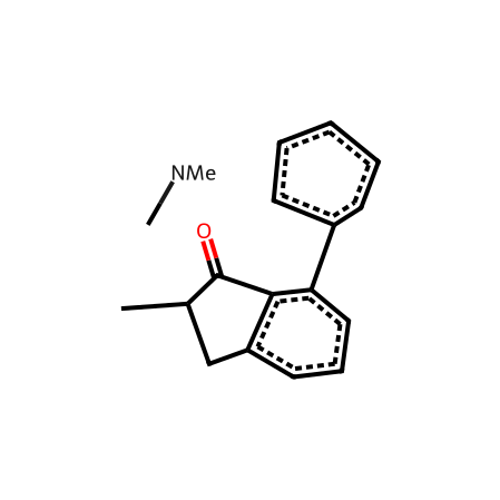 CC1Cc2cccc(-c3ccccc3)c2C1=O.CNC